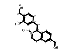 O=CN1CCc2cc(CO)ccc2C1Cc1ccc(CO)c(O)c1